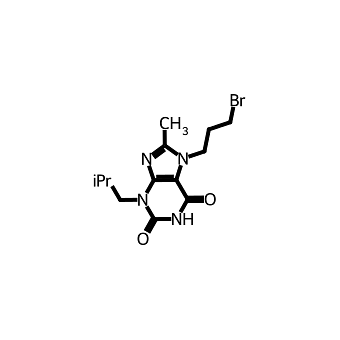 Cc1nc2c(c(=O)[nH]c(=O)n2CC(C)C)n1CCCBr